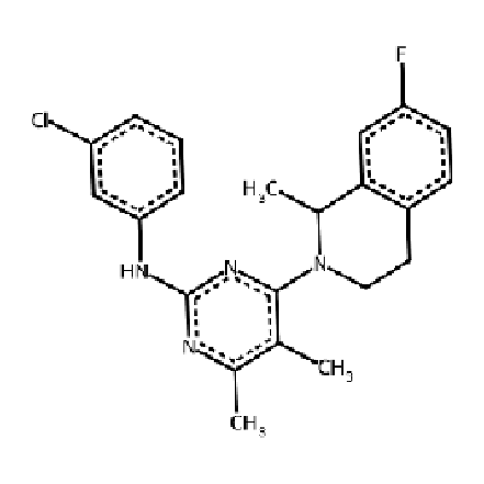 Cc1nc(Nc2cccc(Cl)c2)nc(N2CCc3ccc(F)cc3C2C)c1C